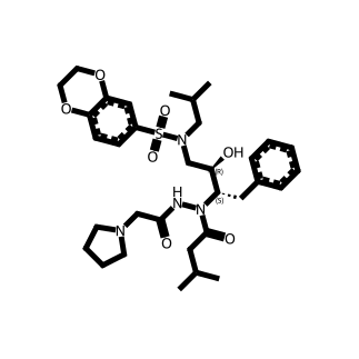 CC(C)CC(=O)N(NC(=O)CN1CCCC1)[C@@H](Cc1ccccc1)[C@H](O)CN(CC(C)C)S(=O)(=O)c1ccc2c(c1)OCCO2